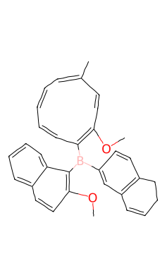 COc1ccc(C)cccccc1B(c1ccc2c(c1)C=CCC2)c1c(OC)ccc2ccccc12